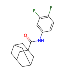 O=C(Nc1ccc(F)c(F)c1)C12CC3CC(CC(C3)C1)C2